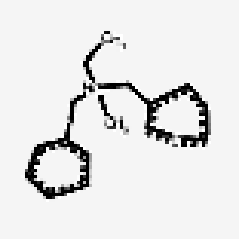 CC[PH](C)(Cc1ccccc1)Cc1ccccc1